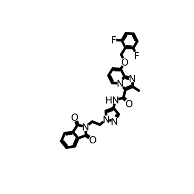 Cc1nc2c(OCc3c(F)cccc3F)cccn2c1C(=O)Nc1cnn(CCN2C(=O)c3ccccc3C2=O)c1